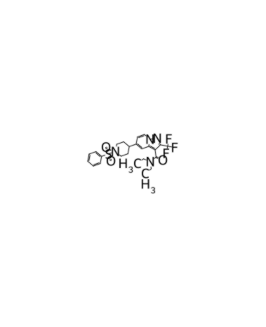 CCN(CC)C(=O)c1c(C(F)(F)F)nn2ccc(C3CCN(S(=O)(=O)c4ccccc4)CC3)cc12